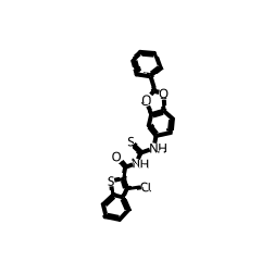 O=C(NC(=S)Nc1ccc2c(c1)OC(c1ccccc1)O2)c1sc2ccccc2c1Cl